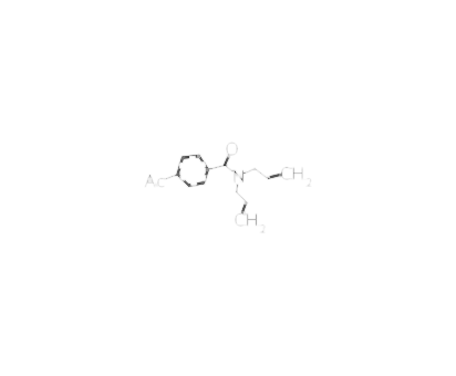 C=CCN(CC=C)C(=O)c1ccc(C(C)=O)cc1